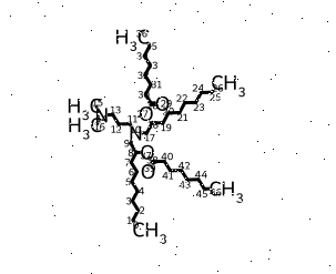 CCCCCCCCC(CN(CCCN(C)C)CC(CCCCCCCC)OC(=O)CCCCCCC)OC(=O)CCCCCCC